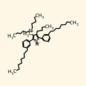 CCCCCCCCc1cccc(C2=C(C)C(CCCC)=C(c3cccc(CCCCCCCC)c3)[N+]2=[N-])c1.CCCC[CH2][Ni][CH2]CCCC